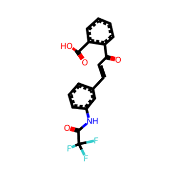 O=C(O)c1ccccc1C(=O)C=Cc1cccc(NC(=O)C(F)(F)F)c1